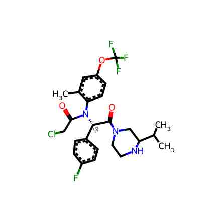 Cc1cc(OC(F)(F)F)ccc1N(C(=O)CCl)[C@H](C(=O)N1CCNC(C(C)C)C1)c1ccc(F)cc1